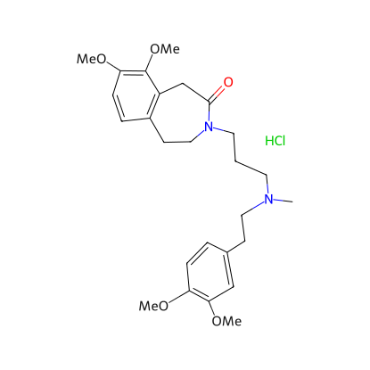 COc1ccc(CCN(C)CCCN2CCc3ccc(OC)c(OC)c3CC2=O)cc1OC.Cl